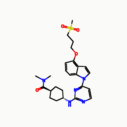 CN(C)C(=O)[C@H]1CC[C@H](Nc2nccc(-n3ccc4c(OCCCS(C)(=O)=O)cccc43)n2)CC1